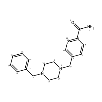 NC(=O)c1ccc(CN2CCN(Cc3ccccc3)CC2)cn1